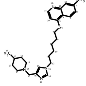 FC(F)(F)c1ccc2c(SCCCCCCn3cnc(CN4CCC(C(F)(F)F)CC4)c3)ccnc2c1